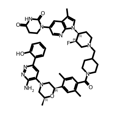 Cc1cc([C@@H]2CN(c3cc(-c4ccccc4O)nnc3N)C[C@H](C)O2)c(C)cc1C(=O)N1CCC(CN2CC[C@H](n3cc(C)c4cc(N5CCC(=O)NC5=O)cnc43)[C@H](F)C2)CC1